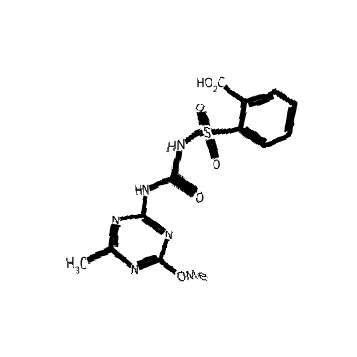 COc1nc(C)nc(NC(=O)NS(=O)(=O)c2ccccc2C(=O)O)n1